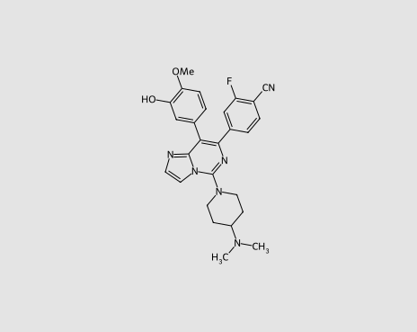 COc1ccc(-c2c(-c3ccc(C#N)c(F)c3)nc(N3CCC(N(C)C)CC3)n3ccnc23)cc1O